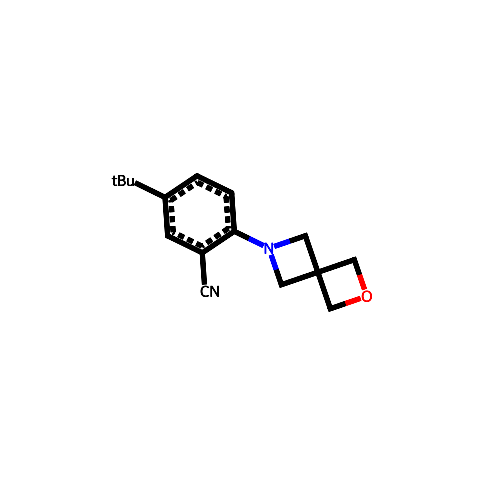 CC(C)(C)c1ccc(N2CC3(COC3)C2)c(C#N)c1